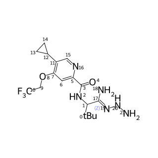 CC(C)(C)C(NC(=O)c1cc(OCC(F)(F)F)c(C2CC2)cn1)/C(N)=N/NN